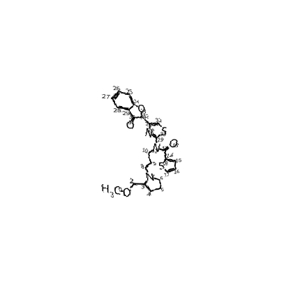 COCC1CCCN1CCCN(C(=O)c1cccs1)c1nc([C@@H]2Oc3ccccc3C2=O)cs1